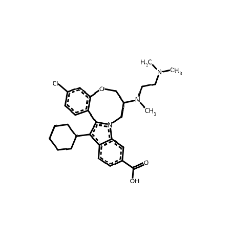 CN(C)CCN(C)C1COc2cc(Cl)ccc2-c2c(C3CCCCC3)c3ccc(C(=O)O)cc3n2C1